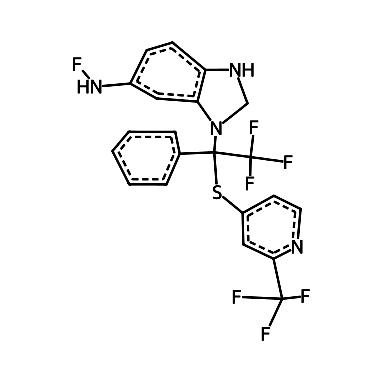 FNc1ccc2c(c1)N(C(Sc1ccnc(C(F)(F)F)c1)(c1ccccc1)C(F)(F)F)CN2